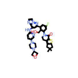 CC1(C)Cc2sc3c(c2C1)CCN(c1cc(F)cc(-c2cc(Nc4ccc(N5CCN(C6COC6)CC5)cn4)c4nccn4n2)c1CO)C3=O